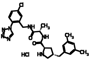 Cc1cc(C)cc(C[C@@H]2CN[C@@H](C(=O)N[C@@H](C)C(=O)NCc3cc(Cl)ccc3-n3cnnn3)C2)c1.Cl